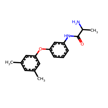 Cc1cc(C)cc(Oc2cccc(NC(=O)C(C)N)c2)c1